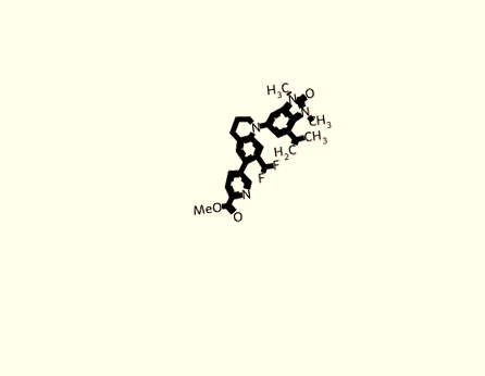 C=C(C)c1cc(N2CCCc3cc(-c4ccc(C(=O)OC)nc4)c(C(F)F)cc32)cc2c1n(C)c(=O)n2C